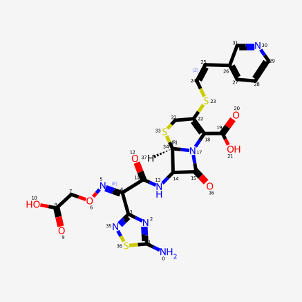 Nc1nc(/C(=N\OCC(=O)O)C(=O)NC2C(=O)N3C(C(=O)O)=C(S/C=C\c4cccnc4)CS[C@H]23)ns1